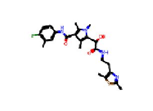 Cc1nc(CCNC(=O)C(O)c2c(C)c(C(=O)Nc3ccc(F)c(C)c3)c(C)n2C)c(C)s1